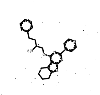 NC(CCc1ccccc1)COc1nc(-c2ccncc2)nc2sc3c(c12)CCCC3